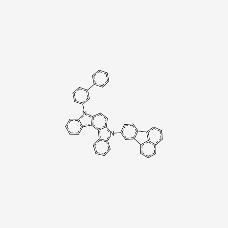 c1ccc(-c2cccc(-n3c4ccccc4c4c5c6ccccc6n(-c6ccc7c(c6)-c6cccc8cccc-7c68)c5ccc43)c2)cc1